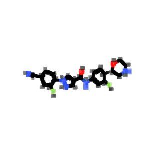 N#Cc1ccc(-n2cc(C(=O)NC3=CC(F)C([C@H]4CNCCO4)C=C3)cn2)c(F)c1